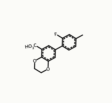 Cc1ccc(-c2cc3c(c(C(=O)O)c2)OCCO3)c(F)c1